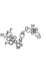 CC(C)N(CC(F)F)C(=O)c1cc(F)ccc1Oc1cncnc1N1CC2(CCN(C[C@@H]3CC[C@@H](NS(=O)(=O)C4CCOCC4)CO3)CC2)C1